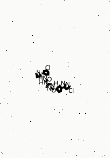 Nc1ncc(Cl)cc1-c1ccc(Oc2ncc(NC(=O)Nc3ccc(Cl)cc3-n3cccn3)cn2)cc1